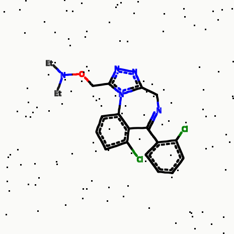 CCN(CC)OCc1nnc2n1-c1cccc(Cl)c1C(c1ccccc1Cl)=NC2